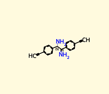 C#Cc1ccc([C@@H](N)[C@@H](N)c2ccc(C#C)cc2)cc1